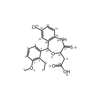 CCc1c(OC)cccc1C1OC(CC(=O)O)C(=S)Nc2ccc(Cl)cc21